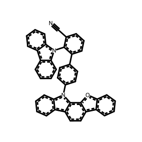 N#Cc1cccc(-c2ccc(-n3c4ccccc4c4ccc5c6ccccc6oc5c43)cc2)c1-n1c2ccccc2c2ccccc21